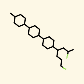 CC(F)CC(CCCF)C1CCC(C2CCC(C3CCC(C)CC3)CC2)CC1